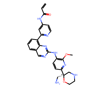 C=CC(=O)Nc1ccnc(-c2cccc3cnc(Nc4ccc([C@@]5(CN)CNCCO5)nc4OC)nc23)c1